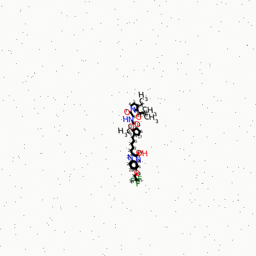 CC[C@@H]1CCN(C(=O)CNC(=O)OC2(C)CCC[C@H]2CCCCCc2nc3ccc(OCC(F)(F)F)cc3nc2O)[C@@H]1C(=O)C(C)C